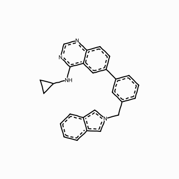 c1cc(Cn2cc3ccccc3c2)cc(-c2ccc3ncnc(NC4CC4)c3c2)c1